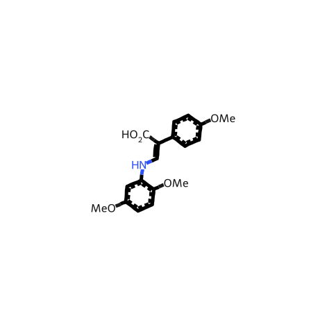 COc1ccc(C(=CNc2cc(OC)ccc2OC)C(=O)O)cc1